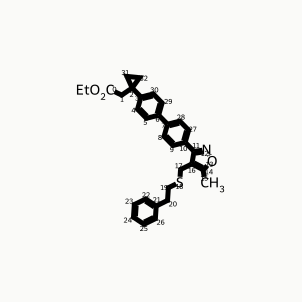 CCOC(=O)CC1(c2ccc(-c3ccc(-c4noc(C)c4CSCCc4ccccc4)cc3)cc2)CC1